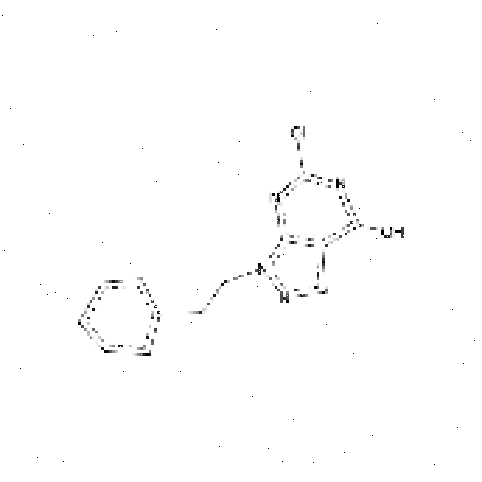 Oc1nc(O)c2cnn(CCc3ccccc3)c2n1